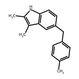 Cc1ccc(Cc2ccc3[nH]c(C)c(C)c3c2)cc1